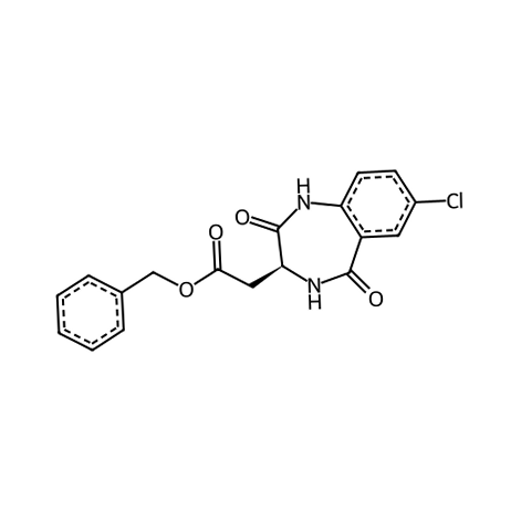 O=C(C[C@@H]1NC(=O)c2cc(Cl)ccc2NC1=O)OCc1ccccc1